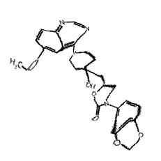 COc1ccc2ncnc(N3CCC(O)(C[C@H]4CN(c5ccc6c(c5)OCCO6)C(=O)O4)CC3)c2c1